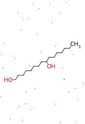 CCCCCCCC(O)CCCCCCCCO